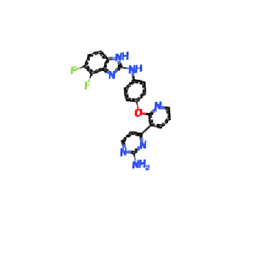 Nc1nccc(-c2cccnc2Oc2ccc(Nc3nc4c(F)c(F)ccc4[nH]3)cc2)n1